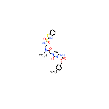 COc1ccc(COC(=O)Nc2ccn(CC(=O)N(CCNS(=O)(=O)c3nc4ccccc4s3)CC(=O)O)c(=O)n2)cc1